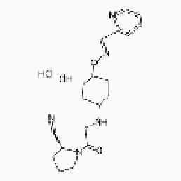 Cl.Cl.N#C[C@@H]1CCCN1C(=O)CNC1CCC(O/N=C/c2ccccn2)CC1